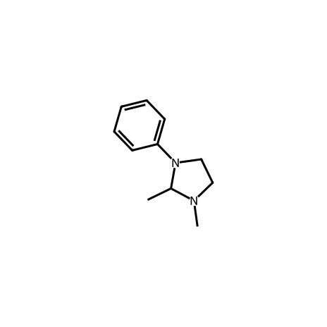 CC1N(C)CCN1c1ccccc1